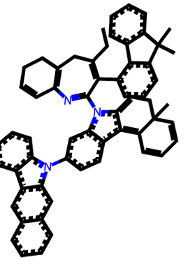 CCC1=C(c2cccc3c2-c2ccccc2C3(C)C)C(n2c3c(c4ccc(-n5c6ccccc6c6cc7ccccc7cc65)cc42)=C2C=CC=CC2(C)CC=3)=NC2=C(CCC=C2)C1